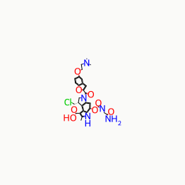 Cc1[nH]c2c(OC(=O)N(C)CC(N)=O)cc3c(c2c1C(=O)O)[C@H](CCl)CN3C(=O)c1cc2cc(OCCN(C)C)ccc2o1